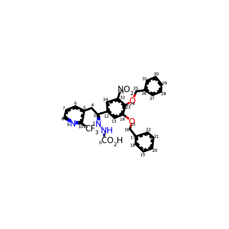 O=C(O)NN=C(Cc1cccnc1C(F)(F)F)c1cc(OCc2ccccc2)c(OCc2ccccc2)c([N+](=O)[O-])c1